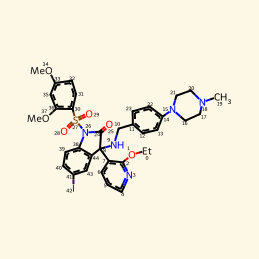 CCOc1ncccc1C1(NCc2ccc(N3CCN(C)CC3)cc2)C(=O)N(S(=O)(=O)c2ccc(OC)cc2OC)c2ccc(I)cc21